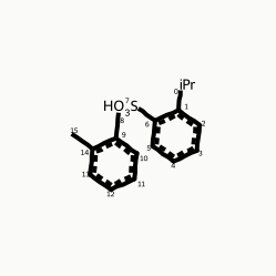 CC(C)c1ccccc1S(=O)(=O)O.Cc1ccccc1C